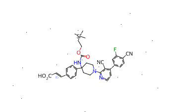 C[Si](C)(C)CCOC(=O)NC1(c2ccc(/C=C/C(=O)O)cc2)CCN(c2nccc(-c3ccc(C#N)c(F)c3)c2C#N)CC1